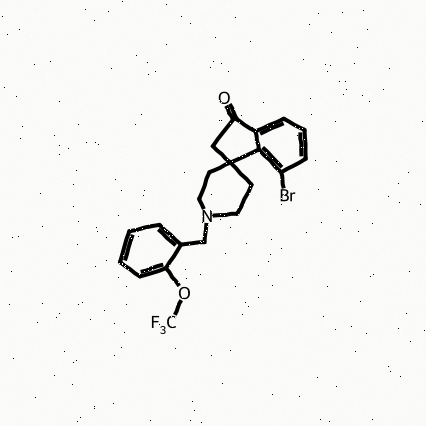 O=C1CC2(CCN(Cc3ccccc3OC(F)(F)F)CC2)c2c(Br)cccc21